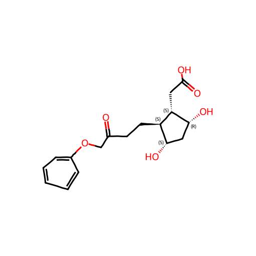 O=C(O)C[C@H]1[C@H](CCC(=O)COc2ccccc2)[C@@H](O)C[C@H]1O